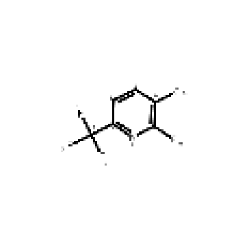 Fc1nc(C(F)(F)F)ccc1Cl